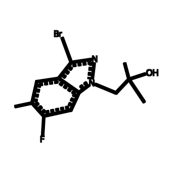 Cc1cc2c(Br)nn(CC(C)(C)O)c2cc1F